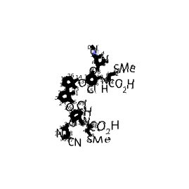 C/N=C/c1cncc(COc2cc(OCc3cccc(-c4cccc(COc5cc(OCc6cncc(C#N)c6)c(CNC(CCSC)C(=O)O)cc5Cl)c4C)c3C)c(Cl)cc2CNC(CCSC)C(=O)O)c1